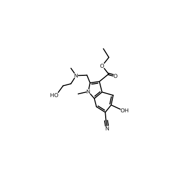 CCOC(=O)c1c(CN(C)CCO)n(C)c2cc(C#N)c(O)cc12